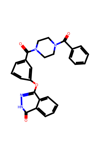 O=C(c1ccccc1)N1CCN(C(=O)c2cccc(Oc3n[nH]c(=O)c4ccccc34)c2)CC1